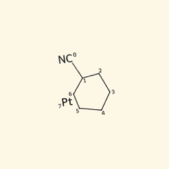 N#CC1CCCCC1.[Pt]